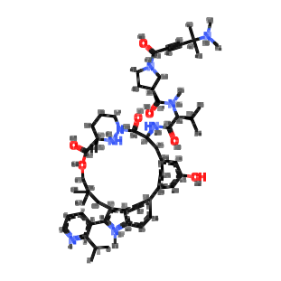 CC(C)c1ncccc1-c1c2c3cc(ccc3n1C)-c1cc(O)cc(c1)C[C@H](NC(=O)[C@H](C(C)C)N(C)C(=O)[C@H]1CCN(C(=O)C#CC(C)(C)N(C)C)C1)C(=O)N1CCC[C@H](N1)C(=O)OCC(C)(C)C2